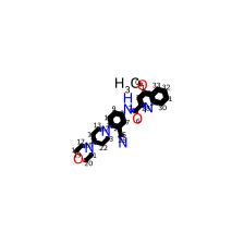 COc1cc(C(=O)Nc2ccc(N3CCC(N4CCOCC4)CC3)c(C#N)c2)nc2ccccc12